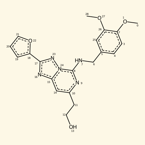 COc1ccc(CNc2nc(CCO)cc3nc(-c4ccco4)nn23)cc1OC